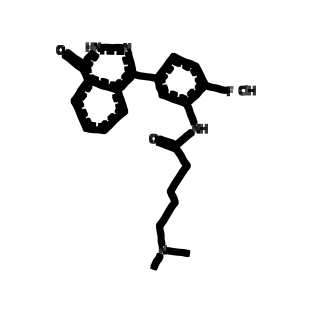 CN(C)CCCCC(=O)Nc1cc(-c2n[nH]c(=O)c3ccccc23)ccc1F.Cl